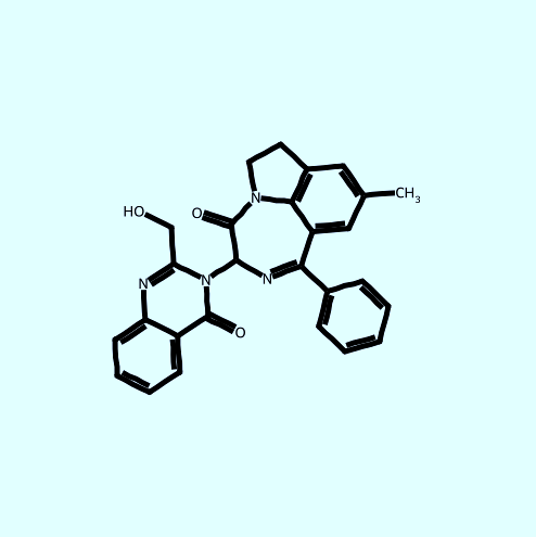 Cc1cc2c3c(c1)C(c1ccccc1)=NC(n1c(CO)nc4ccccc4c1=O)C(=O)N3CC2